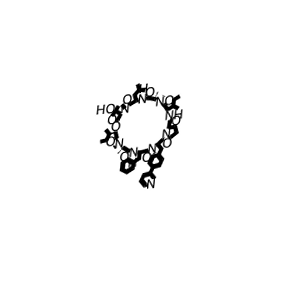 CCC(C)C1NC(=O)C2CCCN2C(=O)C(Cc2ccc(-c3cccnc3)cc2)N(C)C(=O)C(Cc2ccccc2)NC(=O)[C@H](C)N(C)C(=O)[C@@H](C(C)CC)OC(=O)C(C(C)(C)O)N(C)C(=O)C(CC(C)C)NC(=O)[C@H](C)N(C)C1=O